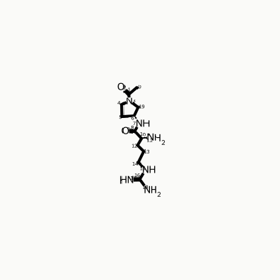 CC(=O)N1CC[C@@H](NC(=O)[C@@H](N)CCCNC(=N)N)C1